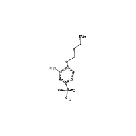 CSCCCOc1ccc(S(N)(=O)=O)cc1[N+](=O)[O-]